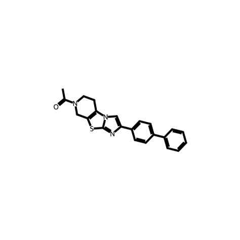 CC(=O)N1CCc2c(sc3nc(-c4ccc(-c5ccccc5)cc4)cn23)C1